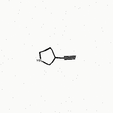 [C]#CC1CCNC1